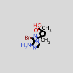 CC1(C(=O)O)CCC(C)(c2nc(Br)c3c(N)nccn23)C1